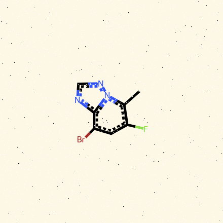 Cc1c(F)cc(Br)c2ncnn12